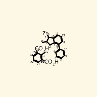 CC1Cc2c(-c3ccccc3)cccc2[CH]1[Zr].Cc1c(C(=O)O)cccc1C(=O)O